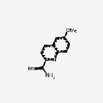 COc1ccc2nc(C(=N)N)ccc2c1